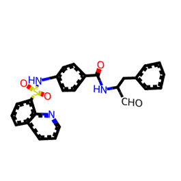 O=CC(Cc1ccccc1)NC(=O)c1ccc(NS(=O)(=O)c2cccc3cccnc23)cc1